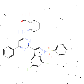 Cc1ccc(S(=O)(=O)n2cc(-c3nc(NC4C5CCC(CC5)C4C(=O)O)cc(-c4ccccc4)n3)c3cc(F)cc(F)c32)cc1